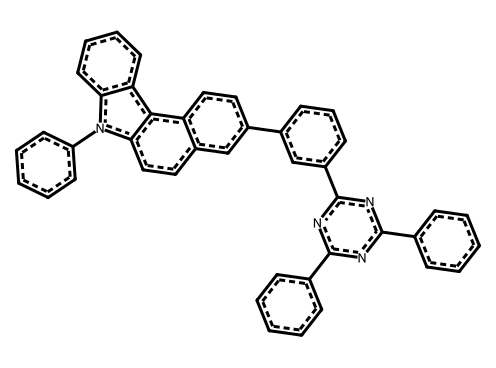 c1ccc(-c2nc(-c3ccccc3)nc(-c3cccc(-c4ccc5c(ccc6c5c5ccccc5n6-c5ccccc5)c4)c3)n2)cc1